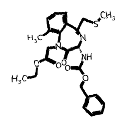 CCOC(=O)CN1C(=O)[C@@H](NC(=O)OCc2ccccc2)N=C(CSC)c2cccc(C)c21